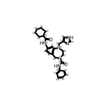 O=C(Nc1ccc2c(c1)N(Cc1c[nH]cn1)CCN(C(=O)Nc1ccccc1)C2)C1CCCCC1